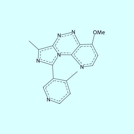 COc1ccnc2c1nnc1c(C)nc(-c3cnccc3C)n12